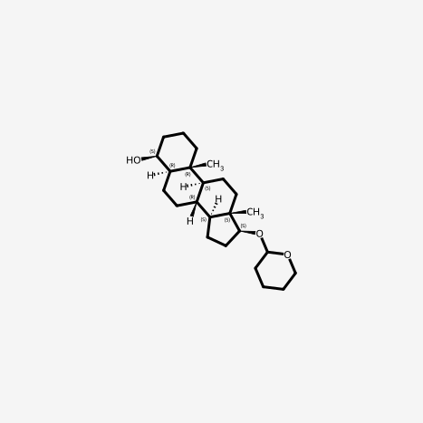 C[C@]12CCC[C@H](O)[C@@H]1CC[C@@H]1[C@@H]2CC[C@]2(C)[C@@H](OC3CCCCO3)CC[C@@H]12